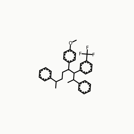 COc1ccc([C](CCC(C)c2ccccc2)C(c2cccc(C(F)(F)F)c2)C(C)c2ccccc2)cc1